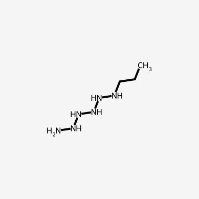 CCCNNNNNN